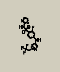 O=S(=O)(Nc1nccs1)c1ccc(Nc2cnn(CC(F)(F)F)c2)cc1F